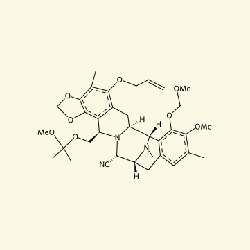 C=CCOc1c(C)c2c(c3c1C[C@H]1[C@@H]4c5c(cc(C)c(OC)c5OCOC)C[C@H]([C@H](C#N)N1[C@H]3COC(C)(C)OC)N4C)OCO2